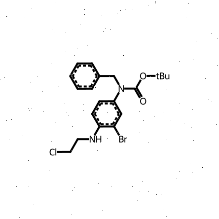 CC(C)(C)OC(=O)N(Cc1ccccc1)c1ccc(NCCCl)c(Br)c1